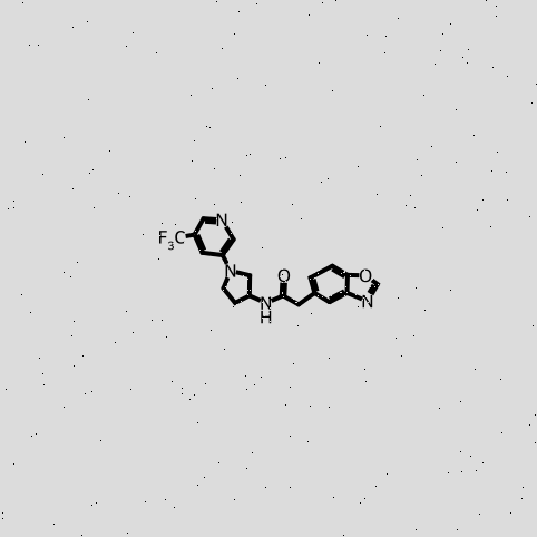 O=C(Cc1ccc2ocnc2c1)NC1CCN(c2cncc(C(F)(F)F)c2)C1